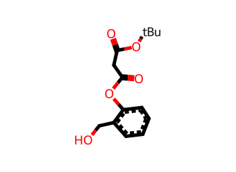 CC(C)(C)OC(=O)CC(=O)Oc1ccccc1CO